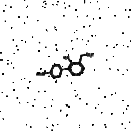 COc1ccc(-c2cccc(CC(=O)O)c2N)cc1